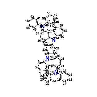 CC(C)c1cccc2c1c1c(N(c3ccccc3)c3ccccc3)ccc3c4cc5c(cc4n2c31)c1ccc(N(c2ccccc2)c2ccccc2)c2c3c(C(C)C)cccc3n5c12